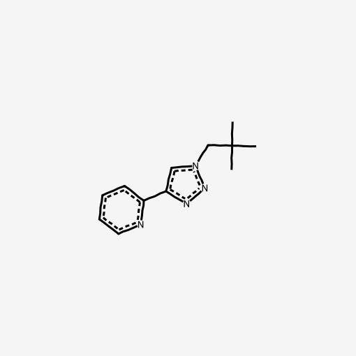 CC(C)(C)Cn1cc(-c2ccccn2)nn1